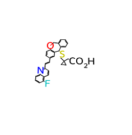 O=C(O)CC1(CSC2c3ccccc3COc3ccc(C=Cc4ccc5c(F)cccc5n4)cc32)CC1